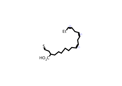 CC/C=C\C/C=C\C/C=C\CCCCCCC(CC=S)C(=O)O